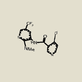 CNc1ncc(C(F)(F)F)cc1NC(=O)c1cnccc1Cl